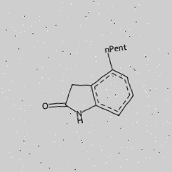 CCCCCc1cccc2c1CC(=O)N2